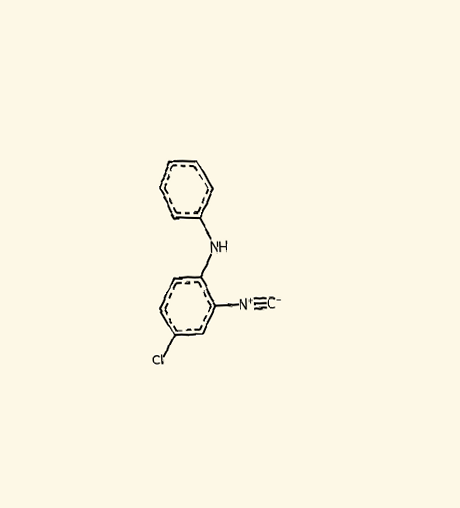 [C-]#[N+]c1cc(Cl)ccc1Nc1ccccc1